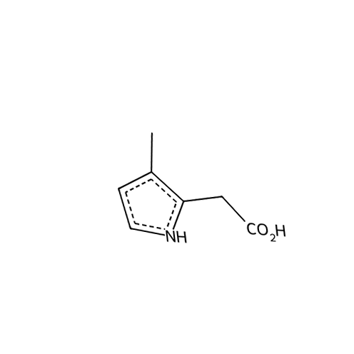 Cc1cc[nH]c1CC(=O)O